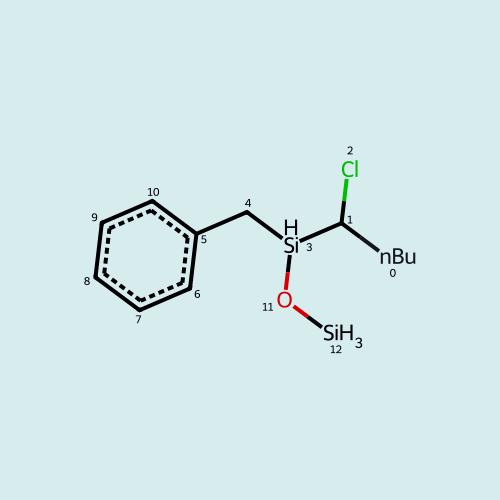 CCCCC(Cl)[SiH](Cc1ccccc1)O[SiH3]